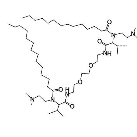 CCCCCCCCCCCCCC(=O)N(CCN(C)C)C(C(=O)NCCOCCOCCNC(=O)C(C(C)C)N(CCN(C)C)C(=O)CCCCCCCCCCCCC)C(C)C